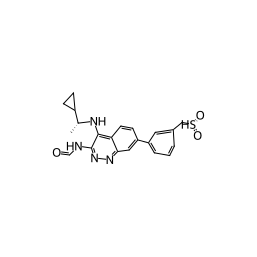 C[C@@H](Nc1c(NC=O)nnc2cc(-c3cccc(C[SH](=O)=O)c3)ccc12)C1CC1